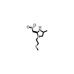 CSCCN1CC(C)NC1=C[N+](=O)[O-]